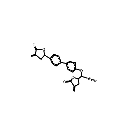 C=C1CC(c2ccc(-c3ccc(OC(CCCCC)C4CC(=C)C(=O)O4)cc3)cc2)OC1=O